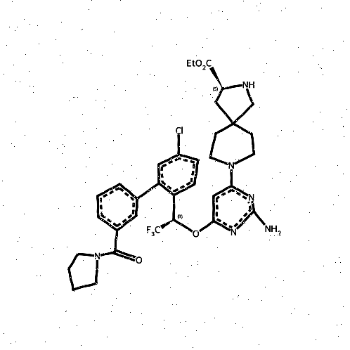 CCOC(=O)[C@@H]1CC2(CCN(c3cc(O[C@H](c4ccc(Cl)cc4-c4cccc(C(=O)N5CCCC5)c4)C(F)(F)F)nc(N)n3)CC2)CN1